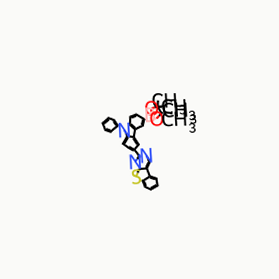 CC1(C)OB(c2ccc3c(c2)c2cc(-c4ncc5c(n4)sc4ccccc45)ccc2n3-c2ccccc2)OC1(C)C